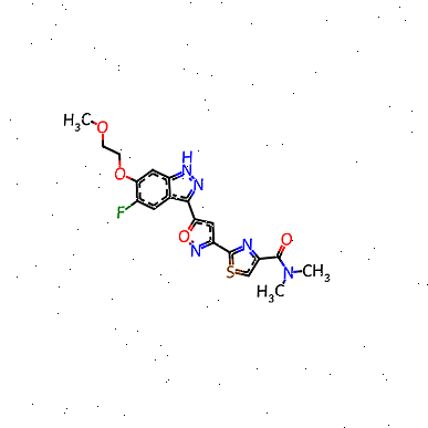 COCCOc1cc2[nH]nc(-c3cc(-c4nc(C(=O)N(C)C)cs4)no3)c2cc1F